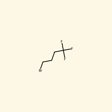 FC(F)(F)[CH]CCBr